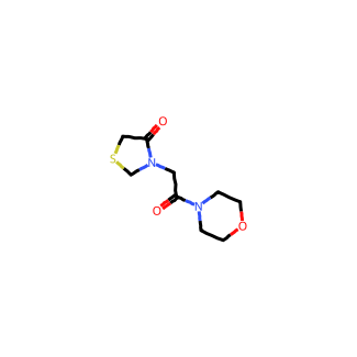 O=C(CN1CSCC1=O)N1CCOCC1